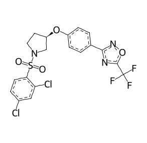 O=S(=O)(c1ccc(Cl)cc1Cl)N1CC[C@@H](Oc2ccc(-c3noc(C(F)(F)F)n3)cc2)C1